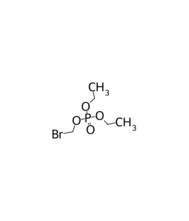 CCOP(=O)(OCC)OCBr